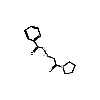 O=C(ONCC(=O)N1CCCC1)c1ccccc1